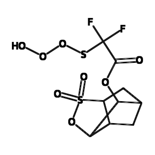 O=C(OC1C2CC3C1OS(=O)(=O)C3C2)C(F)(F)SOOO